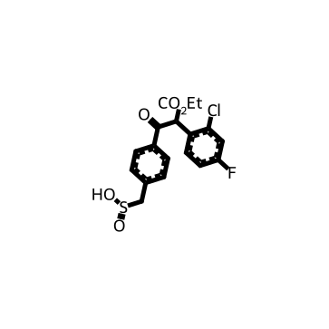 CCOC(=O)C(C(=O)c1ccc(CS(=O)O)cc1)c1ccc(F)cc1Cl